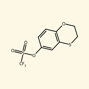 O=S(=O)(Oc1ccc2c(c1)SCCO2)C(F)(F)F